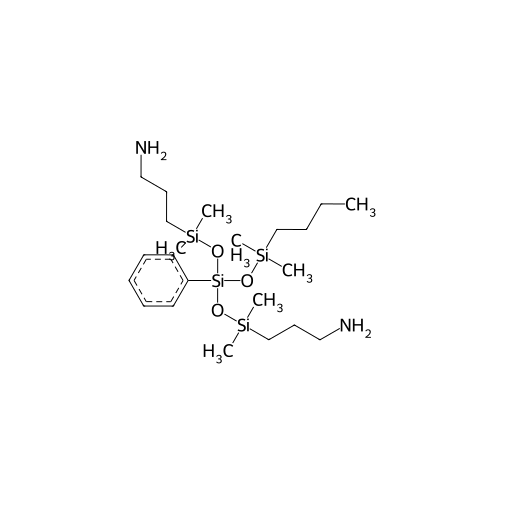 CCCC[Si](C)(C)O[Si](O[Si](C)(C)CCCN)(O[Si](C)(C)CCCN)c1ccccc1